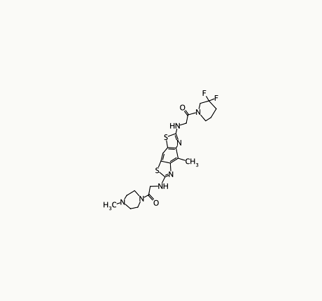 Cc1c2nc(NCC(=O)N3CCN(C)CC3)sc2cc2sc(NCC(=O)N3CCCC(F)(F)C3)nc12